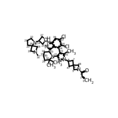 C=CC(=O)N1CC2(CC(n3nc(N4CC[C@@H](CN5CC6(CCCN6C6COC6)C5)CC4(C)C)c(-c4c(Cl)c(Cl)cc5[nH]ncc45)c3C)C2)C1